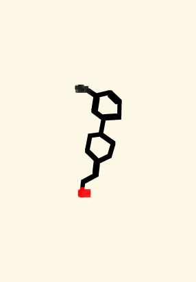 CC(C)(C)c1cccc(C2CCC(=CCO)CC2)c1